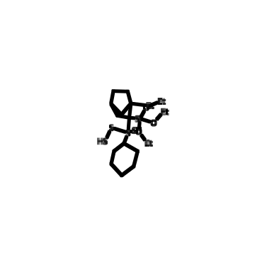 CCO[Si](OCC)(OCC)C1(S(S)(SS)C2CCCCC2)CC2CCC1(CC)C2